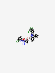 O=C(Nc1cccc(OCCCN(Cc2cccc(C(F)(F)F)c2Cl)CC(c2ccccc2)c2ccccc2)c1)Nc1ccccc1Cl